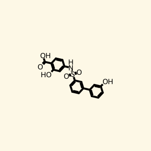 O=C(O)c1ccc(NS(=O)(=O)c2cccc(-c3cccc(O)c3)c2)cc1O